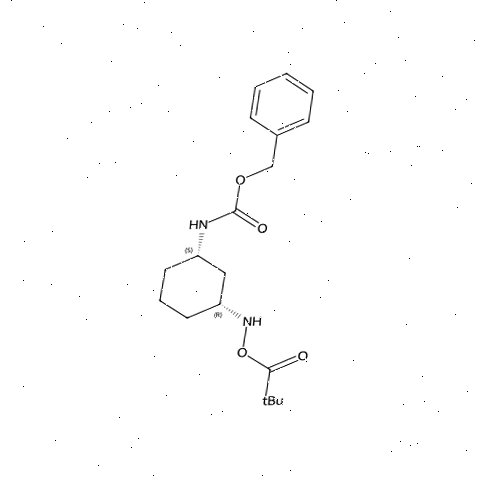 CC(C)(C)C(=O)ON[C@@H]1CCC[C@H](NC(=O)OCc2ccccc2)C1